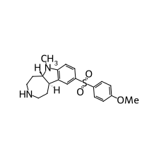 COc1ccc(S(=O)(=O)c2ccc3c(c2)[C@H]2CCNCC[C@@H]2N3C)cc1